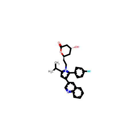 CC(C)c1cc(-c2cnc3ccccc3c2)c(-c2ccc(F)cc2)n1CC[C@@H]1C[C@@H](O)CC(=O)O1